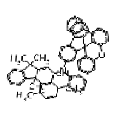 CC1C=CC2(C)C3=C1C1(C)C(=CC3(C)N(c3ccc4c(c3)C3(c5ccccc5Oc5cccc(-c6ccccc6)c53)c3ccccc3-4)c3ccccc32)C(C)(C)c2ccccc21